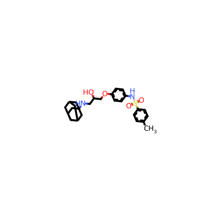 Cc1ccc(S(=O)(=O)Nc2ccc(OCC(O)CNC34CC5CC(CC(C5)C3)C4)cc2)cc1